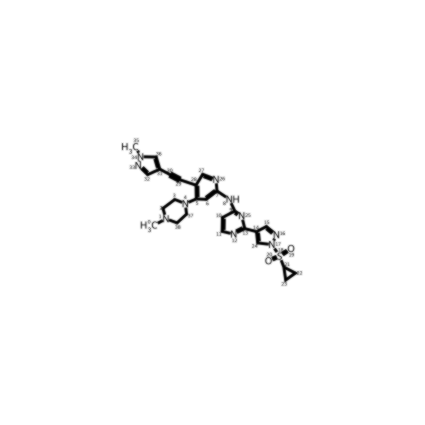 CN1CCN(c2cc(Nc3ccnc(-c4cnn(S(=O)(=O)C5CC5)c4)n3)ncc2C#Cc2cnn(C)c2)CC1